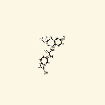 C[C@]1(CF)C[C@@H](NC(=O)Nc2ccc3c(c2)C(O)C3)c2ccc(Cl)cc2O1